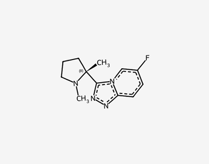 CN1CCC[C@]1(C)c1nnc2ccc(F)cn12